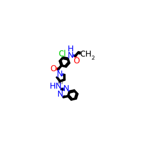 C=CC(=O)Nc1ccc(C(=O)N2CC[C@@H](Nc3ncc4ccccc4n3)C2)cc1Cl